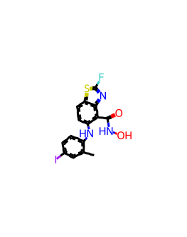 Cc1cc(I)ccc1Nc1ccc2sc(F)nc2c1C(=O)NO